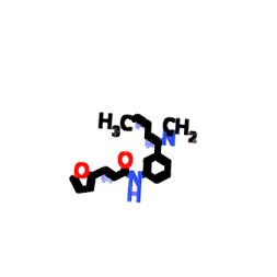 C=N/C(=C\C=C/C)c1cccc(NC(=O)/C=C/c2ccco2)c1